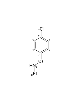 CCNOc1ccc(Cl)cc1